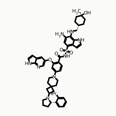 CC(C)c1ccccc1[C@@H]1CCCN1C1CC2(CCN(c3ccc(C(=O)NS(=O)(=O)c4cc(N)c(NC[C@H]5CC[C@](C)(O)CC5)c5[nH]ccc45)c(Oc4cnc5[nH]ccc5c4)c3)CC2)C1